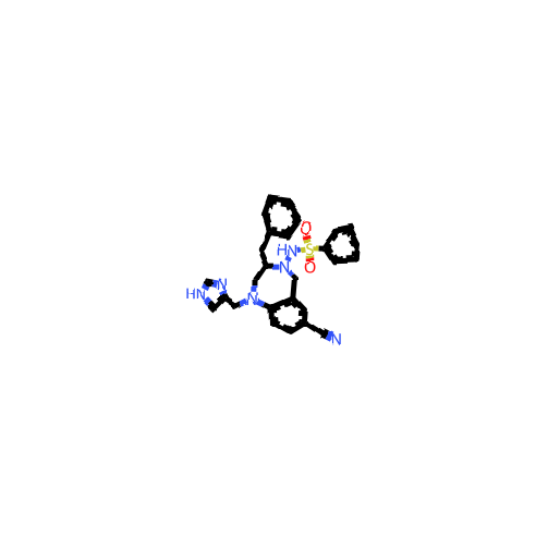 N#Cc1ccc2c(c1)CN(NS(=O)(=O)c1ccccc1)C(Cc1ccccc1)CN2Cc1c[nH]cn1